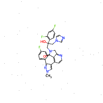 Cn1cc(-c2ccnc3c2C(=O)N(CC(O)(Cn2ccnc2)c2ccc(F)cc2F)C3)c(-c2ccc(F)cc2)n1